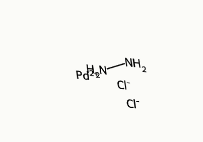 NN.[Cl-].[Cl-].[Pd+2]